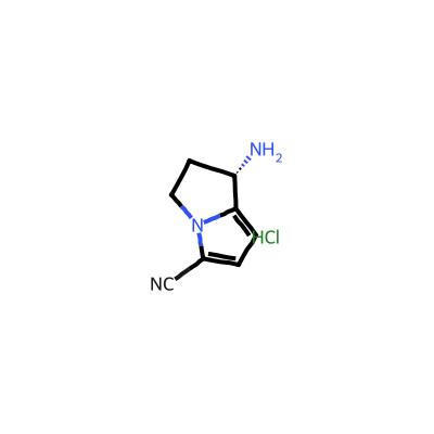 Cl.N#Cc1ccc2n1CC[C@@H]2N